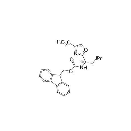 CC(C)C[C@H](NC(=O)OCC1c2ccccc2-c2ccccc21)c1nc(C(=O)O)co1